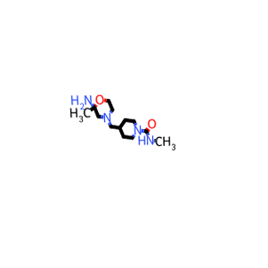 CNC(=O)N1CCC(CN2CCOC(C)(N)C2)CC1